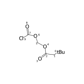 CC(C)(C)CC(=O)OCOC(=O)Cl